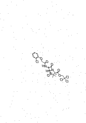 CC1(C)[C@H](C(=O)OCC(Cl)(Cl)Cl)N2C(=O)[C@@H](NC(=O)COc3ccccc3Cl)[C@H]2[S@@+]1[O-]